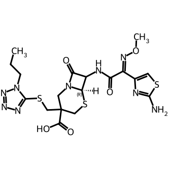 CCCn1nnnc1SCC1(C(=O)O)CS[C@@H]2C(NC(=O)C(=NOC)c3csc(N)n3)C(=O)N2C1